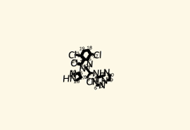 CCC(Nc1ncnn2ccnc12)c1nc2c(Cl)ccc(Cl)c2c(=O)n1-c1cc[nH]n1